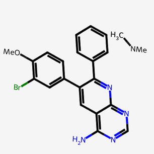 CNC.COc1ccc(-c2cc3c(N)ncnc3nc2-c2ccccc2)cc1Br